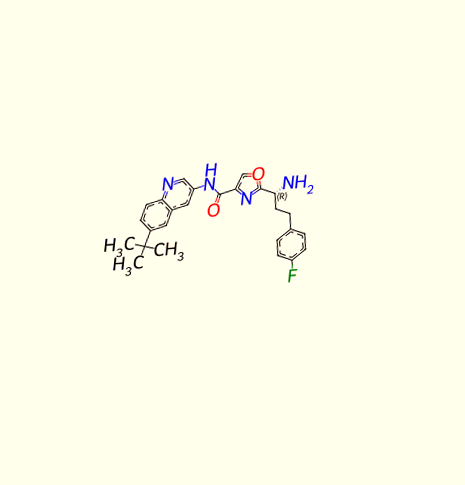 CC(C)(C)c1ccc2ncc(NC(=O)c3coc([C@H](N)CCc4ccc(F)cc4)n3)cc2c1